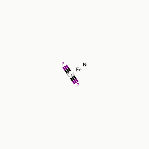 [Fe].[Ni].[P]#[Cd]#[P]